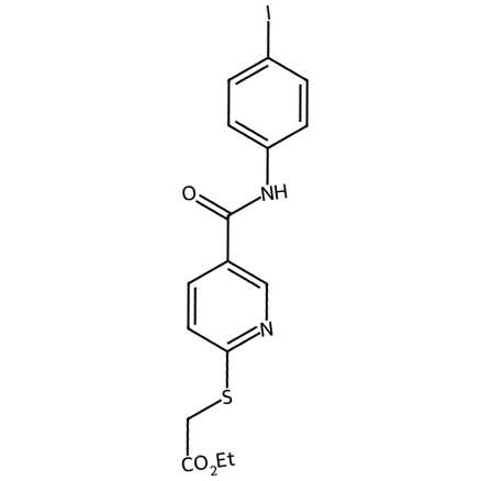 CCOC(=O)CSc1ccc(C(=O)Nc2ccc(I)cc2)cn1